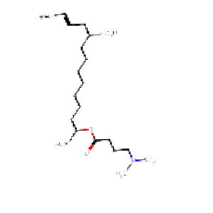 CCCCCCC=CCC(CCCCCCCC(CCCCCCCCC)OC(=O)CCCN(C)C)C(=O)O